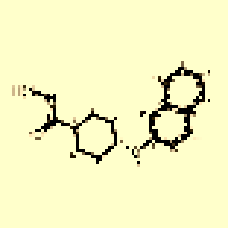 NNC(=O)[C@H]1CC[C@H](Oc2ccc3ccccc3c2)CC1